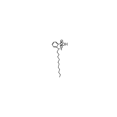 CCCCCCCCCCCC(I)c1ccccc1S(=O)(=O)O